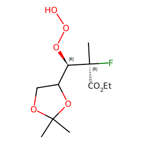 CCOC(=O)[C@](C)(F)[C@H](OOO)C1COC(C)(C)O1